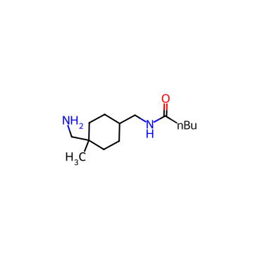 CCCCC(=O)NCC1CCC(C)(CN)CC1